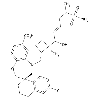 CC(C/C=C/C(O)[C@]1(C)CC[C@H]1CN1C[C@@]2(CCCc3cc(Cl)ccc32)COc2ccc(C(=O)O)cc21)S(N)(=O)=O